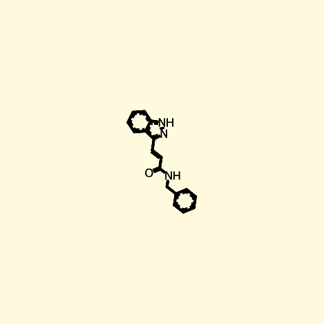 O=C(C=Cc1n[nH]c2ccccc12)NCc1ccccc1